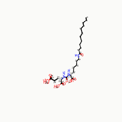 CCCCCCCCCCCC(=O)NCCCCC[C@H](NC(=O)N[C@@H](CCC(=O)O)C(=O)O)C(=O)O